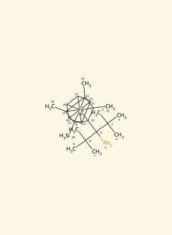 CC(C)(C)C(P)(C(C)(C)C)[C]12[C]3(C)[C]4(C)[C]5(C)[C]1([SiH3])[Fe]45321678[CH]2[CH]1[CH]6[CH]7[CH]28